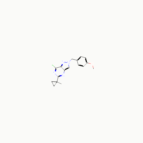 COc1ccc(Cn2cc3nc(C4(C)CC4)nc(Cl)c3n2)cc1